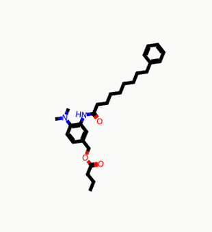 CCCC(=O)OCc1ccc(N(C)C)c(NC(=O)CCCCCCCCc2ccccc2)c1